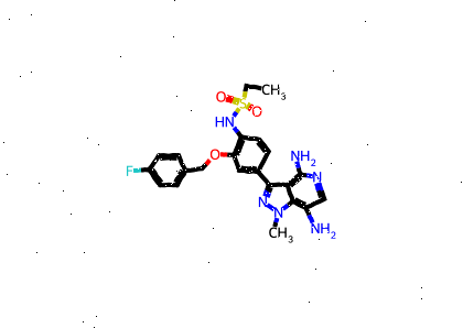 CCS(=O)(=O)Nc1ccc(-c2nn(C)c3c(N)cnc(N)c23)cc1OCc1ccc(F)cc1